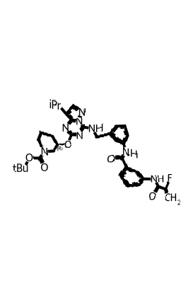 C=C(F)C(=O)Nc1cccc(C(=O)Nc2cccc(CNc3nc(O[C@@H]4CCCN(C(=O)OC(C)(C)C)C4)nc4c(C(C)C)cnn34)c2)c1